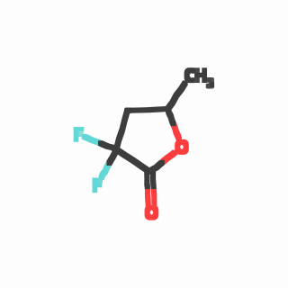 CC1CC(F)(F)C(=O)O1